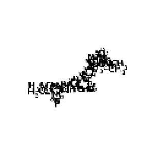 CC(C)(C)OC(=O)N1C[C@@H](F)CC1c1ncc(-c2ccc3c(c2)OCC2(CCC2)Cn2c-3cc3cc(-c4cnc([C@H]5CCCN5C(=O)OC(C)(C)C)[nH]4)ccc32)[nH]1